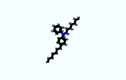 CCCCCCCc1ccc(N(CCCCCCC)c2ccccc2)cc1